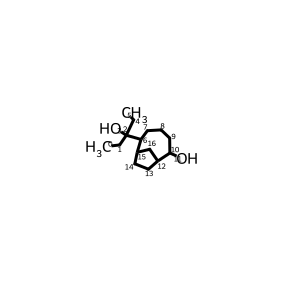 CCC(O)(CC)C1CCCC(O)C2CCC1C2